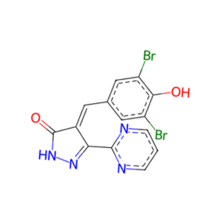 O=C1NN=C(c2ncccn2)/C1=C\c1cc(Br)c(O)c(Br)c1